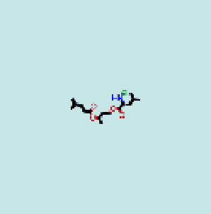 CC(C)CCC(=O)OC(C)CCOC(=O)[C@H](CC(C)C)NCl